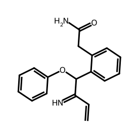 C=CC(=N)C(Oc1ccccc1)c1ccccc1CC(N)=O